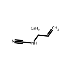 C=CCNC#N.[CaH2]